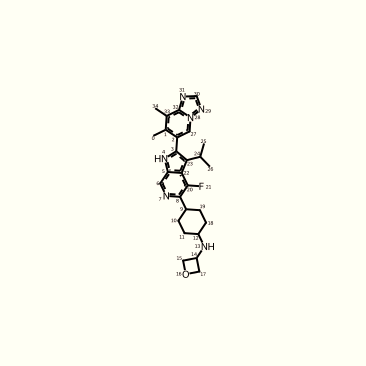 Cc1c(-c2[nH]c3cnc(C4CCC(NC5COC5)CC4)c(F)c3c2C(C)C)cn2ncnc2c1C